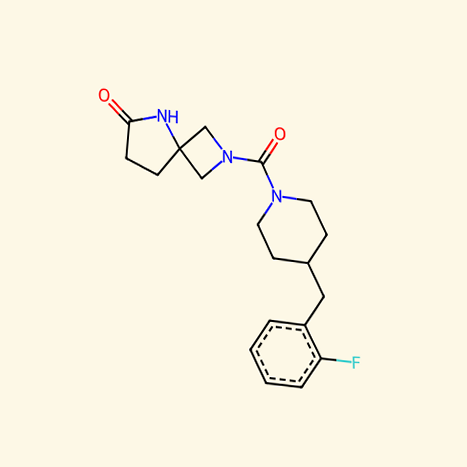 O=C1CCC2(CN(C(=O)N3CCC(Cc4ccccc4F)CC3)C2)N1